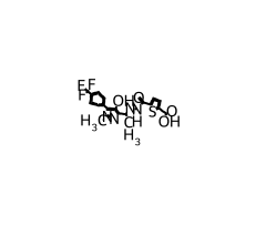 CC(=NNC(=O)c1ccc(C(=O)O)s1)c1nn(C)c(-c2ccc(C(F)(F)F)cc2)c1O